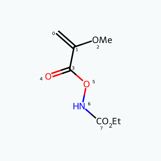 C=C(OC)C(=O)ONC(=O)OCC